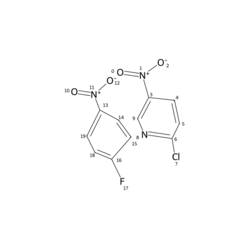 O=[N+]([O-])c1ccc(Cl)nc1.O=[N+]([O-])c1ccc(F)cc1